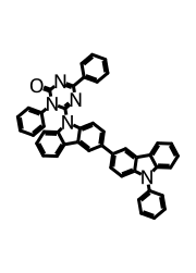 O=c1nc(-c2ccccc2)nc(-n2c3ccccc3c3cc(-c4ccc5c(c4)c4ccccc4n5-c4ccccc4)ccc32)n1-c1ccccc1